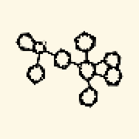 c1ccc(-c2cc(-c3ccc(-c4oc5ccccc5c4-c4ccccc4)cc3)c(-c3ccccc3)c3c2-c2cccc4cccc-3c24)cc1